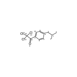 CC(C)Cc1ccc(C(=O)C(Cl)(Cl)Cl)cc1